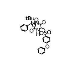 CC(C)(C)ONC(=O)C(CS(=O)(=O)c1ccc(Oc2ccccc2)cc1)NC(=O)OCc1ccccc1